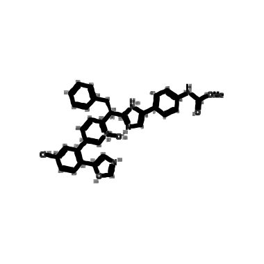 COC(=O)Nc1ccc(-c2cnc([C@H](Cc3ccccc3)c3ccc(-c4cc(Cl)ccc4-c4cnco4)c[n+]3[O-])[nH]2)cc1